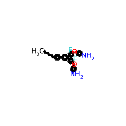 CCCCCCCc1ccc(C2CCC(c3ccc(Oc4ccc(N)cc4)c(F)c3)(c3ccc(Oc4ccc(N)cc4)c(F)c3)CC2)cc1